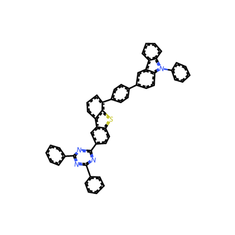 c1ccc(-c2nc(-c3ccccc3)nc(-c3ccc4sc5c(-c6ccc(-c7ccc8c(c7)c7ccccc7n8-c7ccccc7)cc6)cccc5c4c3)n2)cc1